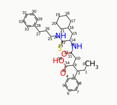 CCC(c1ccccc1)C(CC(=O)NC(CC1CCCCC1)C(=S)NCCCc1ccccc1)C(=O)O